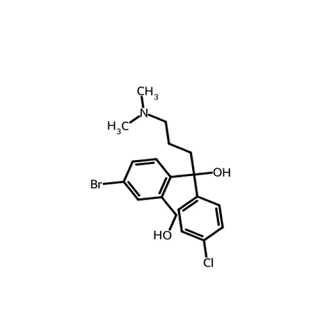 CN(C)CCCC(O)(c1ccc(Cl)cc1)c1ccc(Br)cc1CO